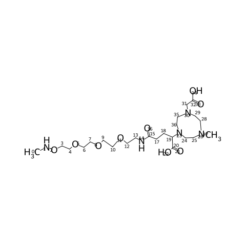 CNOCCOCCOCCOCCNC(=O)CCC(C(=O)O)N1CCN(C)CCN(CC(=O)O)CC1